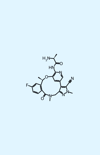 C[C@H](N)C(=O)Nc1ncc2cc1O[C@H](C)c1cc(F)ccc1C(=O)N(C)Cc1nn(C)c(C#N)c1-2